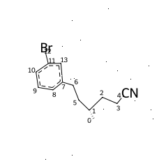 C[C@@H](CCC#N)CCc1cccc(Br)c1